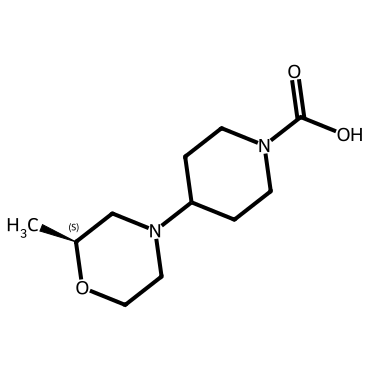 C[C@H]1CN(C2CCN(C(=O)O)CC2)CCO1